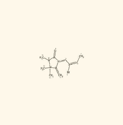 C=C1/C(=C\C(Br)=C/C)C(=O)N(C)C1(C)C